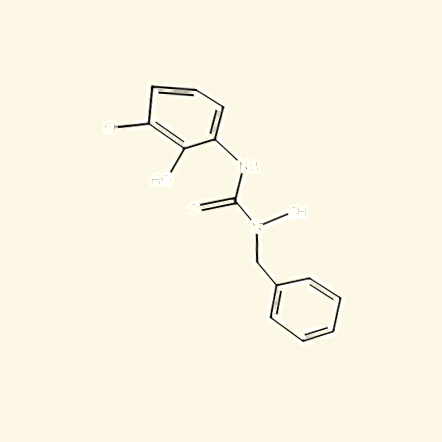 O=C(Nc1cccc(Cl)c1O)N(S)Cc1ccccc1